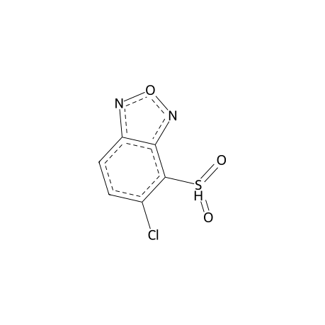 O=[SH](=O)c1c(Cl)ccc2nonc12